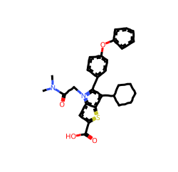 CN(C)C(=O)Cn1c(-c2ccc(Oc3ccccc3)cc2)c(C2CCCCC2)c2sc(C(=O)O)cc21